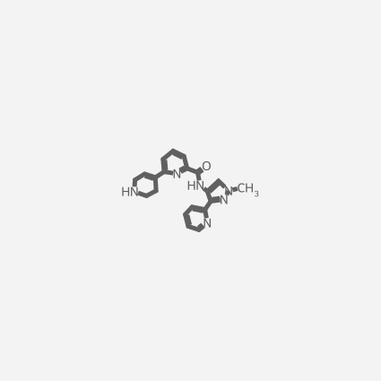 Cn1cc(NC(=O)c2cccc(C3=CCNCC3)n2)c(-c2ccccn2)n1